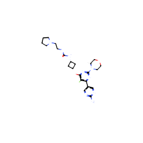 C[C@H]1COCCN1c1nc(O[C@H]2C[C@H](N(C)C(=O)NCCN3CCCC3)C2)c(F)c(-c2cnc(N)nc2)n1